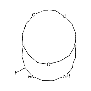 IC1CN2CCOCCOCCN(CCNCCN1)CCOCC2